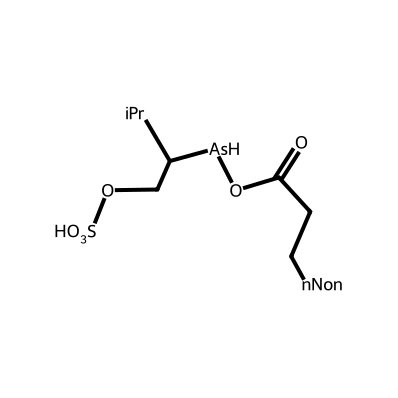 CCCCCCCCCCCC(=O)O[AsH]C(COS(=O)(=O)O)C(C)C